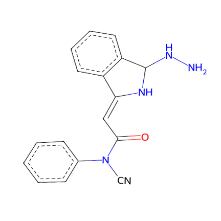 N#CN(C(=O)/C=C1\NC(NN)c2ccccc21)c1ccccc1